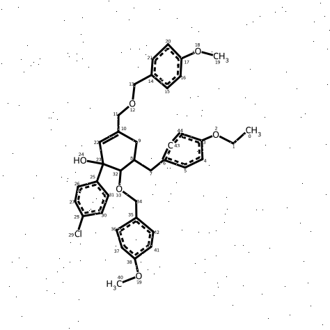 CCOc1ccc(CC2CC(COCc3ccc(OC)cc3)=CC(O)(c3ccc(Cl)cc3)C2OCc2ccc(OC)cc2)cc1